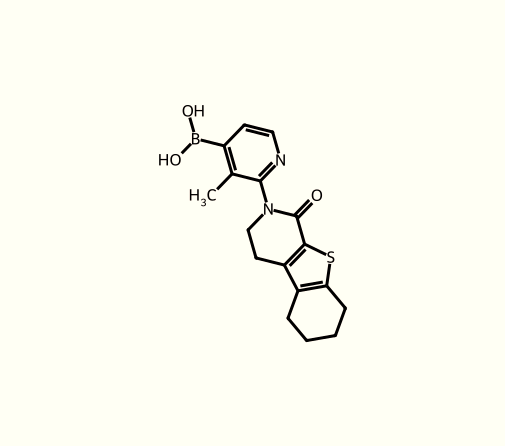 Cc1c(B(O)O)ccnc1N1CCc2c(sc3c2CCCC3)C1=O